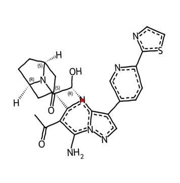 CC(=O)c1c([C@@H]2C[C@H]3CC[C@@H](C2)N3C(=O)[C@@H](C)O)nc2c(-c3ccc(-c4nccs4)nc3)cnn2c1N